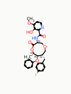 COc1ccnc(C(=O)N[C@H]2COC[C@H](Cc3ccc(F)cc3)[C@@H](Oc3ccccc3)[C@H](C)OC2=O)c1O